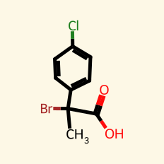 CC(Br)(C(=O)O)c1ccc(Cl)cc1